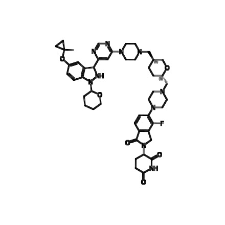 CC1(Oc2ccc3c(c2)C(c2cc(N4CCN(C[C@@H]5CC[C@@H](CN6CCN(c7ccc8c(c7F)CN(C7CCC(=O)NC7=O)C8=O)CC6)OC5)CC4)ncn2)NN3C2CCCCO2)CC1